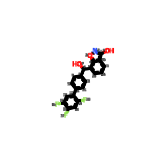 Oc1noc2c(C(O)c3ccc(-c4cc(F)c(F)cc4F)cc3)cccc12